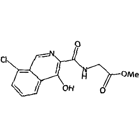 COC(=O)CNC(=O)c1ncc2c(Cl)cccc2c1O